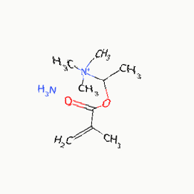 C=C(C)C(=O)OC(C)[N+](C)(C)C.N